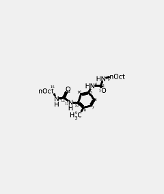 CCCCCCCCNC(=O)Nc1ccc(C)c(NC(=O)NCCCCCCCC)c1